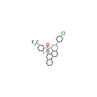 Cc1ccc(C(F)(F)F)cc1S(=O)(=O)C1CC(c2ccc(Cl)cc2)Cc2ccc3c(ccc4ccccc43)c21